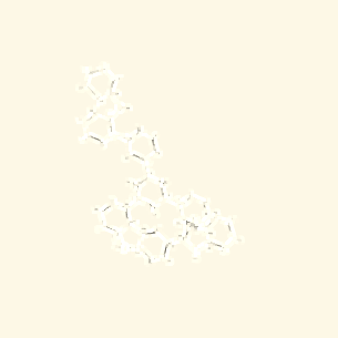 c1ccc(-c2nc(-c3cccc(-c4cccc5c4oc4ccccc45)c3)nc(-c3cccc4oc5ccc(-c6nc7ccccc7s6)cc5c34)n2)cc1